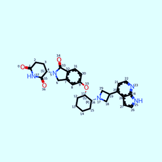 O=C1CC[C@H](N2Cc3cc(O[C@H]4CCCC[C@H]4N4CC(c5ccnc6[nH]ccc56)C4)ccc3C2=O)C(=O)N1